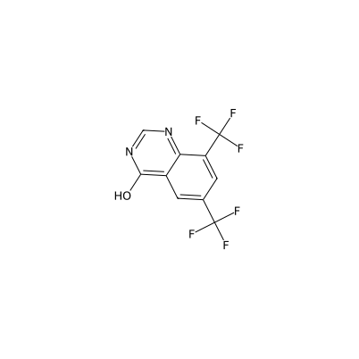 Oc1ncnc2c(C(F)(F)F)cc(C(F)(F)F)cc12